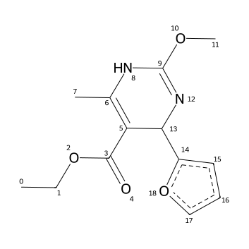 CCOC(=O)C1=C(C)NC(OC)=NC1c1ccco1